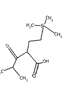 CC(C)C(=O)C(CC[Si](C)(C)C)C(=O)O